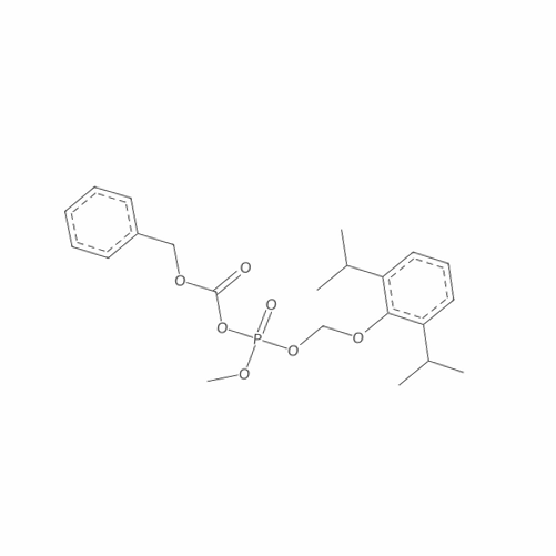 COP(=O)(OCOc1c(C(C)C)cccc1C(C)C)OC(=O)OCc1ccccc1